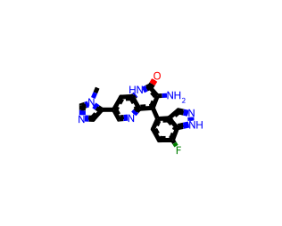 Cn1cncc1-c1cnc2c(-c3ccc(F)c4[nH]ncc34)c(N)c(=O)[nH]c2c1